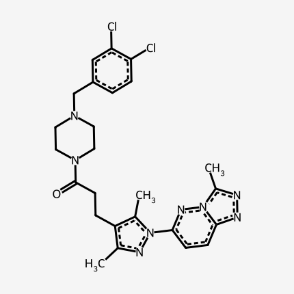 Cc1nn(-c2ccc3nnc(C)n3n2)c(C)c1CCC(=O)N1CCN(Cc2ccc(Cl)c(Cl)c2)CC1